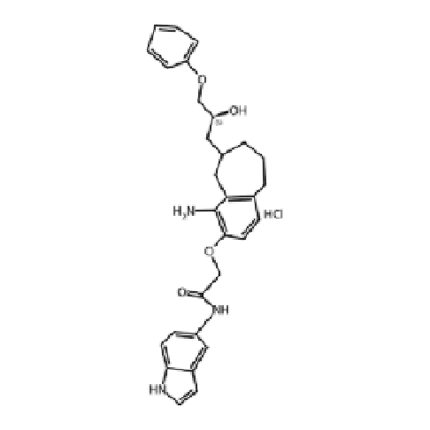 Cl.Nc1c(OCC(=O)Nc2ccc3[nH]ccc3c2)ccc2c1CC(C[C@H](O)COc1ccccc1)CCC2